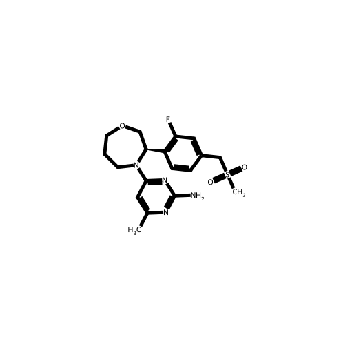 Cc1cc(N2CCCOC[C@H]2c2ccc(CS(C)(=O)=O)cc2F)nc(N)n1